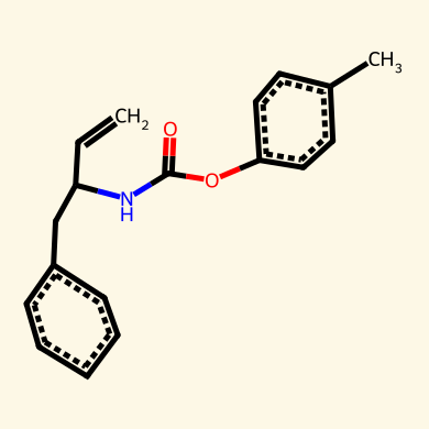 C=CC(Cc1ccccc1)NC(=O)Oc1ccc(C)cc1